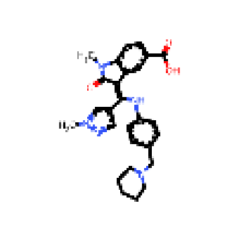 CN1C(=O)C(=C(Nc2ccc(CN3CCCCC3)cc2)c2cnn(C)c2)c2cc(C(=O)O)ccc21